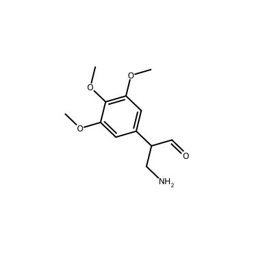 COc1cc(C(C=O)CN)cc(OC)c1OC